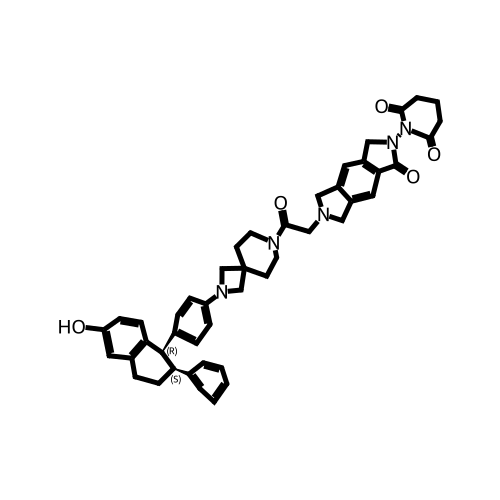 O=C(CN1Cc2cc3c(cc2C1)C(=O)N(N1C(=O)CCCC1=O)C3)N1CCC2(CC1)CN(c1ccc([C@@H]3c4ccc(O)cc4CC[C@@H]3c3ccccc3)cc1)C2